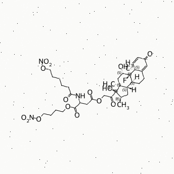 C[C@@H]1C[C@H]2[C@@H]3CCC4=CC(=O)C=C[C@]4(C)[C@@]3(F)[C@@H](O)C[C@]2(C)[C@@]1(O)C(=O)COC(=O)CC(NC(=O)CCCCCO[N+](=O)[O-])C(=O)OCCCCO[N+](=O)[O-]